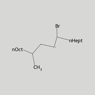 CCCCCCCCC(C)C[CH]C(Br)CCCCCCC